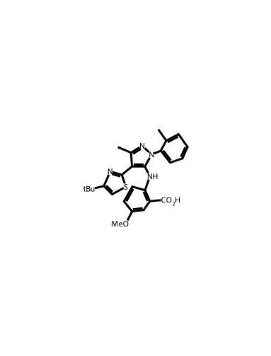 COc1ccc(Nc2c(-c3nc(C(C)(C)C)cs3)c(C)nn2-c2ccccc2C)c(C(=O)O)c1